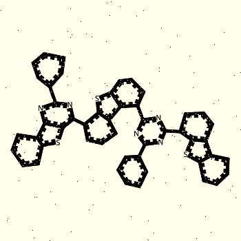 c1ccc(-c2nc(-c3cccc4c3sc3ccccc34)nc(-c3cccc4sc5c(-c6nc(-c7ccccc7)nc7c6sc6ccccc67)cccc5c34)n2)cc1